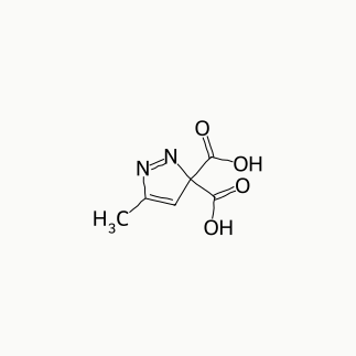 CC1=CC(C(=O)O)(C(=O)O)N=N1